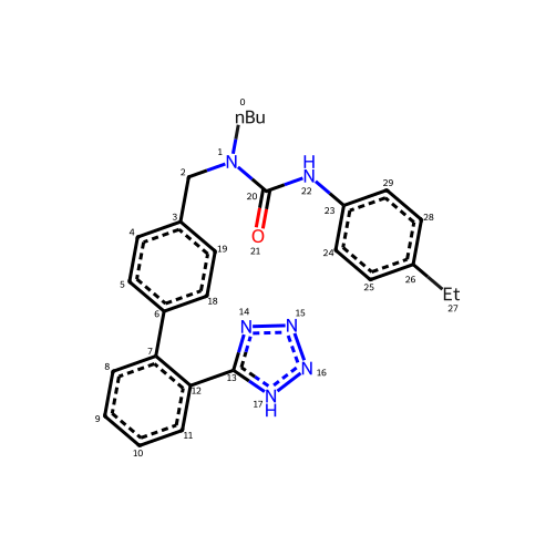 CCCCN(Cc1ccc(-c2ccccc2-c2nnn[nH]2)cc1)C(=O)Nc1ccc(CC)cc1